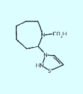 O=C(O)N1CCCCCC1N1C=CSN1